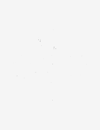 Clc1nc(-c2cc3ccccc3c3ccccc23)c2c(n1)sc1ccccc12